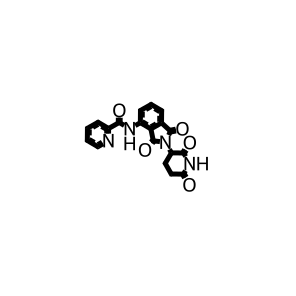 O=C1CCC(N2C(=O)c3cccc(NC(=O)c4ccccn4)c3C2=O)C(=O)N1